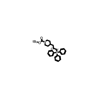 CC(C)(C)OC(=O)N1CCC(CC(=O)C[PH](c2ccccc2)(c2ccccc2)c2ccccc2)CC1